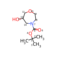 CC(C)(C)OC(=O)N1CCOCC(O)C1